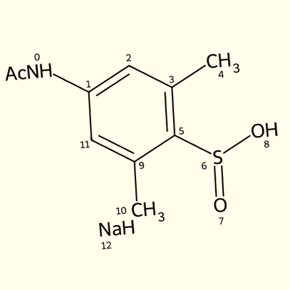 CC(=O)Nc1cc(C)c(S(=O)O)c(C)c1.[NaH]